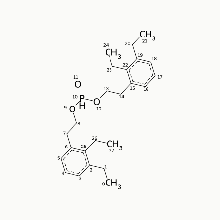 CCc1cccc(CCO[PH](=O)OCCc2cccc(CC)c2CC)c1CC